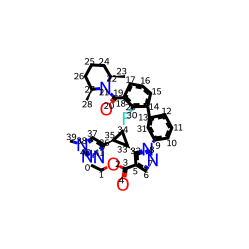 CCOC(=O)c1cnn(-c2cccc(-c3cccc(C(=O)N4[C@H](C)CCC[C@@H]4C)c3F)c2)c1[C@H]1C[C@@H]1c1cn(C)nn1